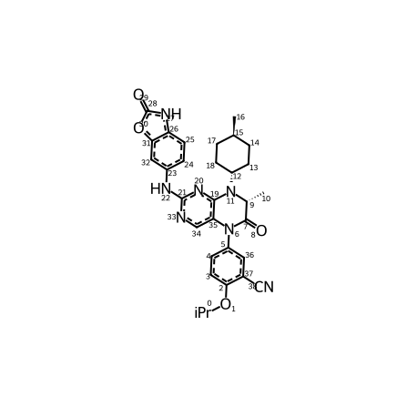 CC(C)Oc1ccc(N2C(=O)[C@@H](C)N([C@H]3CC[C@H](C)CC3)c3nc(Nc4ccc5[nH]c(=O)oc5c4)ncc32)cc1C#N